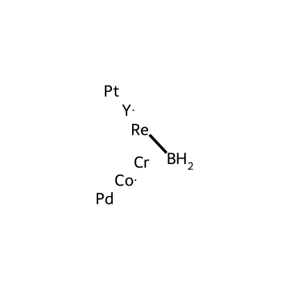 [BH2][Re].[Co].[Cr].[Pd].[Pt].[Y]